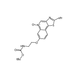 CCCc1nc2c[n+]([O-])c3cc(OCCNC(=O)OC(C)(C)C)ccc3c2s1